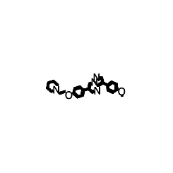 COc1ccc(-c2cnn3cc(-c4ccc(OCCN5CCCCC5)cc4)cnc23)cc1